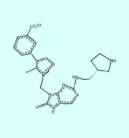 CCOC(=O)c1cccc(-c2cccc(Cn3c(=O)[nH]c4cnc(NC[C@@H]5CCNC5)nc43)c2C)c1